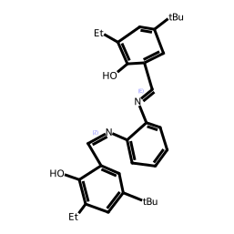 CCc1cc(C(C)(C)C)cc(/C=N\c2ccccc2/N=C/c2cc(C(C)(C)C)cc(CC)c2O)c1O